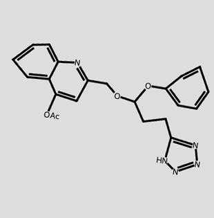 CC(=O)Oc1cc(COC(CCc2nnn[nH]2)Oc2ccccc2)nc2ccccc12